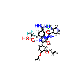 C=CCOc1ccc(C(Nc2ccc(C(=N)N)cc2)C(=O)NNC(=O)c2ccncc2Cl)cc1OCC=C.O=C(O)C(F)(F)F